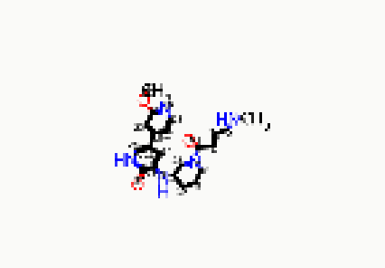 CNC/C=C/C(=O)N1CCC[C@H](Nc2cc(-c3ccnc(OC)c3)c[nH]c2=O)C1